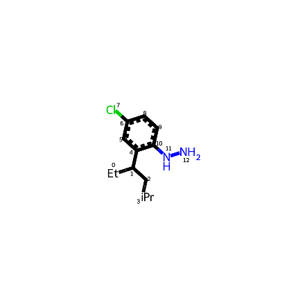 CCC(CC(C)C)c1cc(Cl)ccc1NN